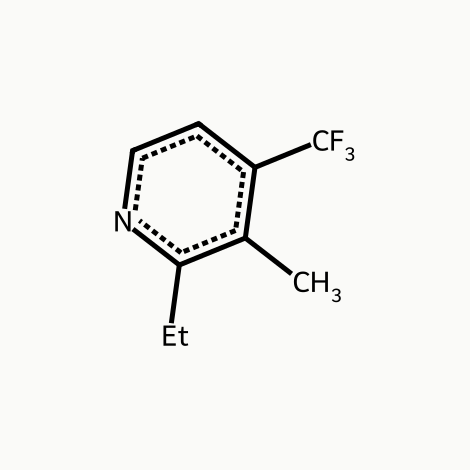 CCc1nccc(C(F)(F)F)c1C